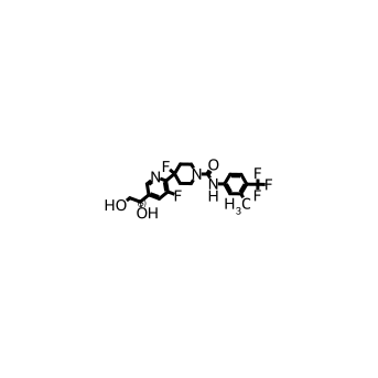 Cc1cc(NC(=O)N2CCC(F)(c3ncc([C@H](O)CO)cc3F)CC2)ccc1C(F)(F)F